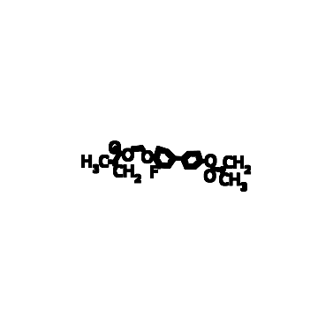 C=C(C)C(=O)O/C=C\Oc1ccc(-c2ccc(OC(=O)C(=C)C)cc2)cc1F